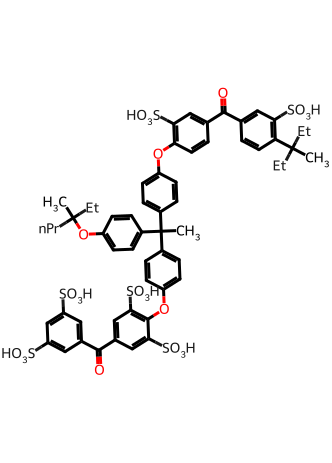 CCCC(C)(CC)Oc1ccc(C(C)(c2ccc(Oc3ccc(C(=O)c4ccc(C(C)(CC)CC)c(S(=O)(=O)O)c4)cc3S(=O)(=O)O)cc2)c2ccc(Oc3c(S(=O)(=O)O)cc(C(=O)c4cc(S(=O)(=O)O)cc(S(=O)(=O)O)c4)cc3S(=O)(=O)O)cc2)cc1